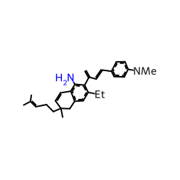 C=C(/C=C/c1ccc(NC)cc1)c1c(CC)cc2c(c1N)C=CC(C)(CCC=C(C)C)C2